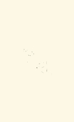 N#CC1(NC(=O)[C@H]2C[C@H](S(=O)(=O)c3ccc(Br)cc3C(F)(F)F)C[C@@H]2OC2CCC2)CC1